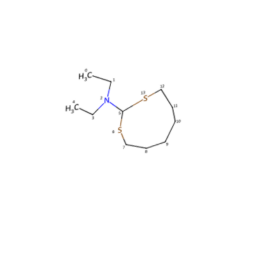 CCN(CC)C1SCCCCCCS1